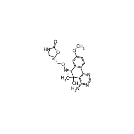 COc1ccc2c(c1)/C(=N\OC[C@@H]1CNC(=O)O1)C(C)(C)c1c(N)ncnc1-2